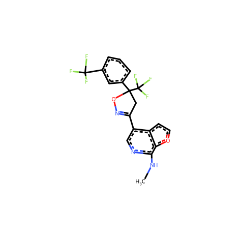 CNc1ncc(C2=NOC(c3cccc(C(F)(F)F)c3)(C(F)(F)F)C2)c2ccoc12